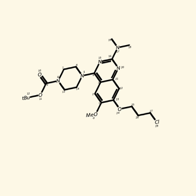 COc1cc2c(N3CCN(C(=O)OC(C)(C)C)CC3)nc(N(C)C)nc2cc1OCCCCl